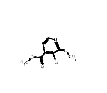 COC(=O)c1ccnc(OC)c1Cl